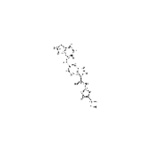 O=C(Nc1cc(C2CCC2)no1)n1ccc2cc(Oc3ncnc4c3CNC4)ccc21